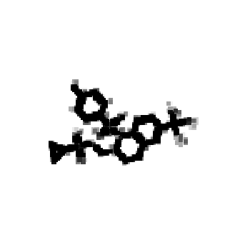 O=S(=O)(NC[C@@H]1CCc2cc(C(O)(C(F)(F)F)C(F)(F)F)ccc2N1S(=O)(=O)c1ccc(I)cc1)C1CC1